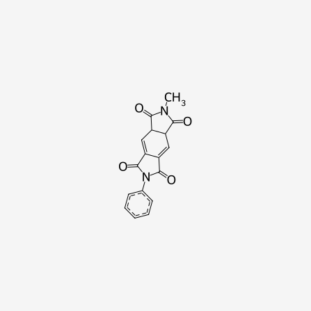 CN1C(=O)C2C=C3C(=O)N(c4ccccc4)C(=O)C3=CC2C1=O